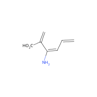 C=C/C=C(/N)C(=C)C(=O)O